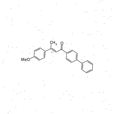 COc1ccc(/C(C)=C/C(=O)c2ccc(-c3ccccc3)cc2)cc1